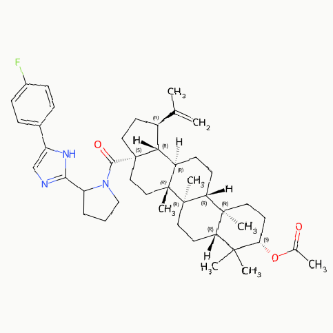 C=C(C)[C@@H]1CC[C@]2(C(=O)N3CCCC3c3ncc(-c4ccc(F)cc4)[nH]3)CC[C@]3(C)[C@H](CC[C@@H]4[C@@]5(C)CC[C@H](OC(C)=O)C(C)(C)[C@@H]5CC[C@]43C)[C@@H]12